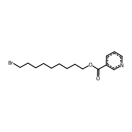 O=C(OCCCCCCCCCBr)c1cccnc1